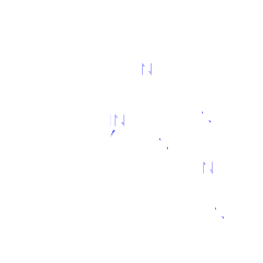 C1=CC2=C(CC1)CCC[C@@H]2Nc1nc(-n2ccnc2)nc2cccnc12